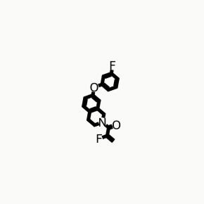 C=C(F)C(=O)N1CCc2ccc(Oc3cccc(F)c3)cc2C1